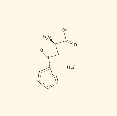 Cl.N[C@H](CC(=O)c1ccccc1)C(=O)O